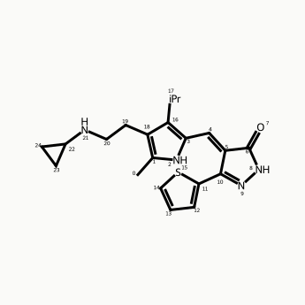 Cc1[nH]c(/C=C2/C(=O)NN=C2c2cccs2)c(C(C)C)c1CCNC1CC1